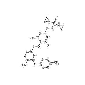 O=[N+]([O-])c1ccc(COc2c(F)cc(COP(=O)(N3CC3)N3CC3)cc2F)cc1Oc1ccc(C(F)(F)F)cc1